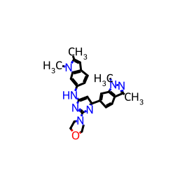 Cc1nn(C)c2cc(-c3cc(Nc4ccc5cc(C)n(C)c5c4)nc(N4CCOCC4)n3)ccc12